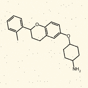 Cc1ccccc1C1CCc2cc(OC3CCC(N)CC3)ccc2O1